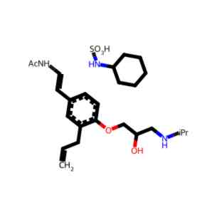 C=CCc1cc(C=CNC(C)=O)ccc1OCC(O)CNC(C)C.O=S(=O)(O)NC1CCCCC1